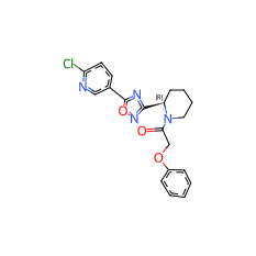 O=C(COc1ccccc1)N1CCCC[C@@H]1c1noc(-c2ccc(Cl)nc2)n1